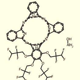 FC(F)C(F)(F)COc1c(OCC(F)(F)C(F)F)c(OCC(F)(F)C(F)F)c2c3nc4nc(nc5[nH]c(nc6nc(nc([nH]3)c2c1OCC(F)(F)C(F)F)-c1ccccc1-6)c1ccccc51)-c1ccccc1-4.[OH][AlH2]